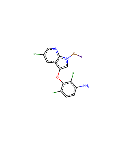 Nc1ccc(F)c(Oc2cn(SI)c3ncc(Br)cc23)c1F